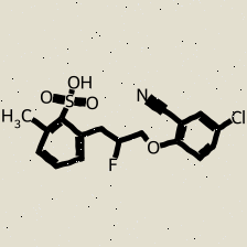 Cc1cccc(CC(F)COc2ccc(Cl)cc2C#N)c1S(=O)(=O)O